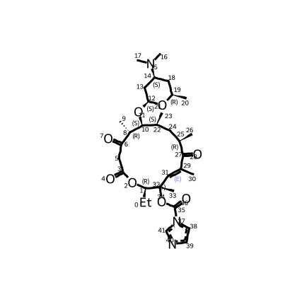 CC[C@H]1OC(=O)CC(=O)[C@H](C)[C@@H](O[C@H]2C[C@@H](N(C)C)C[C@@H](C)O2)[C@@H](C)C[C@@H](C)C(=O)/C(C)=C/[C@]1(C)OC(=O)n1ccnc1